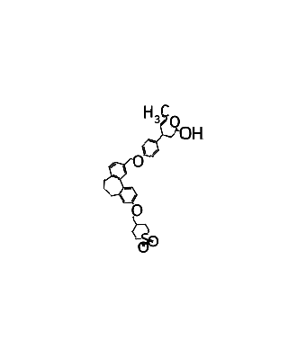 CC=C[C@@H](CC(=O)O)c1ccc(OCc2ccc3c(c2)-c2ccc(OCC4CCS(=O)(=O)CC4)cc2CCC3)cc1